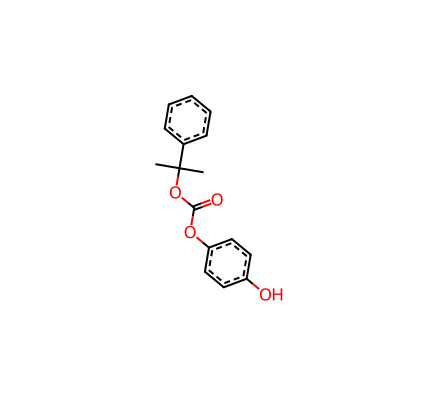 CC(C)(OC(=O)Oc1ccc(O)cc1)c1ccccc1